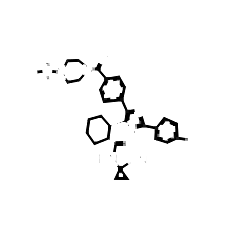 CS(=O)(=O)N1CCN(C(=O)c2ccc(-c3sc(-c4ccc(F)cc4)nc3[C@@H]3CCCC[C@H]3C(=O)NC3(C#N)CC3)cc2)CC1